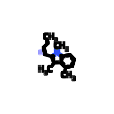 C=C/C=C\c1c(C)c2c(C)cccc2n1C